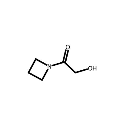 O=C(CO)N1CCC1